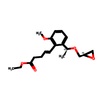 CCOC(=O)CC/C=C/c1c(OC)cccc1[C@@H](C)OC[C@H]1CO1